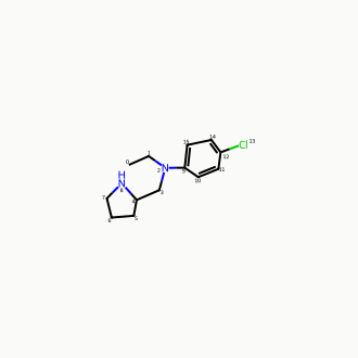 CCN(CC1CCCN1)c1ccc(Cl)cc1